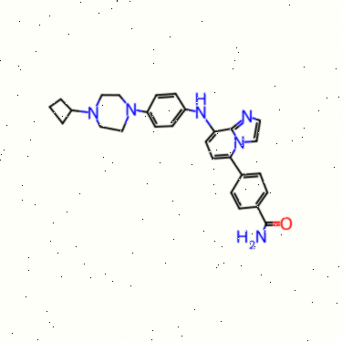 NC(=O)c1ccc(-c2ccc(Nc3ccc(N4CCN(C5CCC5)CC4)cc3)c3nccn23)cc1